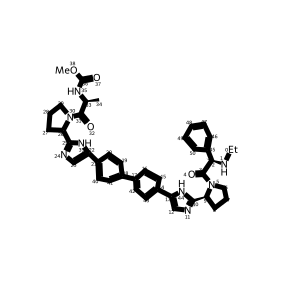 CCN[C@@H](C(=O)N1CCC[C@H]1c1ncc(-c2ccc(-c3ccc(-c4cnc(C5CCCN5C(=O)[C@H](C)NC(=O)OC)[nH]4)cc3)cc2)[nH]1)c1ccccc1